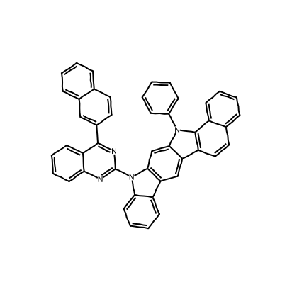 c1ccc(-n2c3cc4c(cc3c3ccc5ccccc5c32)c2ccccc2n4-c2nc(-c3ccc4ccccc4c3)c3ccccc3n2)cc1